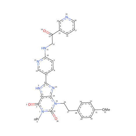 CCCn1c(=O)c2[nH]c(-c3ccc(NCC(=O)c4cccnc4)nc3)nc2n(CCc2ccc(OC)cc2)c1=O